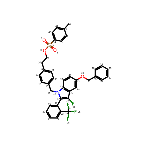 Cc1ccc(S(=O)(=O)OCCc2ccc(Cn3c(-c4ccccc4C(F)(F)F)c(F)c4cc(OCc5ccccc5)ccc43)cc2)cc1